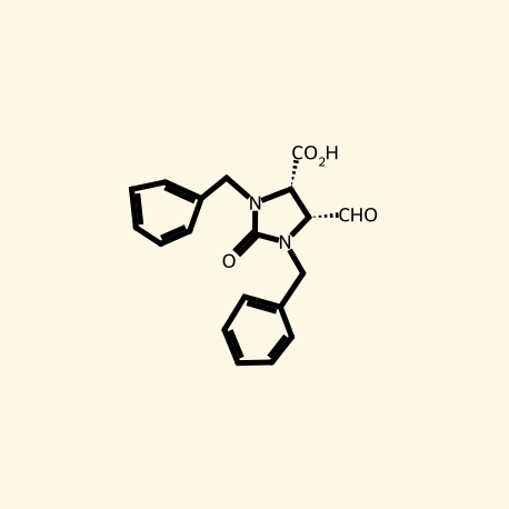 O=C[C@H]1[C@@H](C(=O)O)N(Cc2ccccc2)C(=O)N1Cc1ccccc1